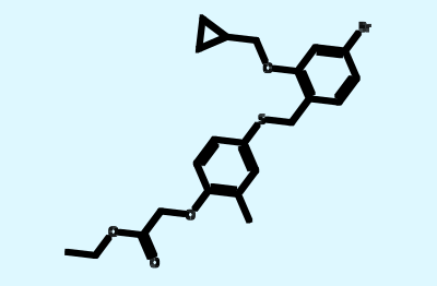 CCOC(=O)COc1ccc(SCc2ccc(Br)cc2OCC2CC2)cc1C